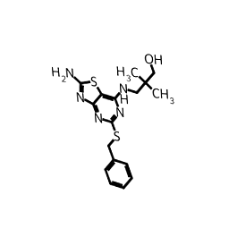 CC(C)(CO)CNc1nc(SCc2ccccc2)nc2nc(N)sc12